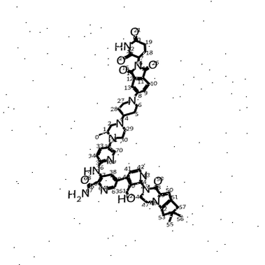 C[C@H]1CN(C2CCN(c3ccc4c(c3)C(=O)N(C3CCC(=O)NC3=O)C4=O)CC2)CCN1c1ccc(Nc2cc(-c3ccnc(N4CCn5c(cc6c5CC(C)(C)C6)C4=O)c3CO)cnc2C(N)=O)nc1